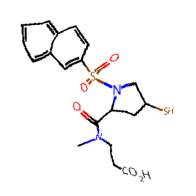 CN(CCC(=O)O)C(=O)C1CC(S)CN1S(=O)(=O)c1ccc2ccccc2c1